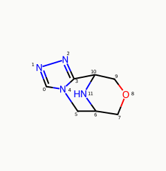 c1nnc2n1CC1COCC2N1